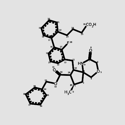 C[C@@H]1CC2(COCC(=O)N2)C(Cc2cccc(-c3ccccc3CCCC(=O)O)c2F)C1C(=O)OCc1ccccc1